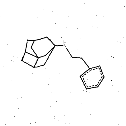 c1ccc(CCNC23CC4CC5CC(C2)C5(C4)C3)cc1